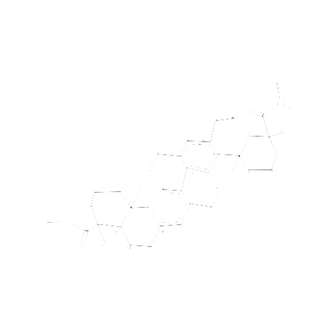 COC(=O)C1(C)CCCC2(C)c3cc(-c4cc5c(cc4C(C)C)CCC4C(C)(C(=O)OC)CCCC54C)c(C(C)C)cc3CCC12